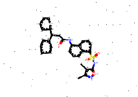 Cc1noc(NS(=O)(=O)c2cccc3c(NC(=O)CC(c4ccccc4)c4ccccc4)cccc23)c1C